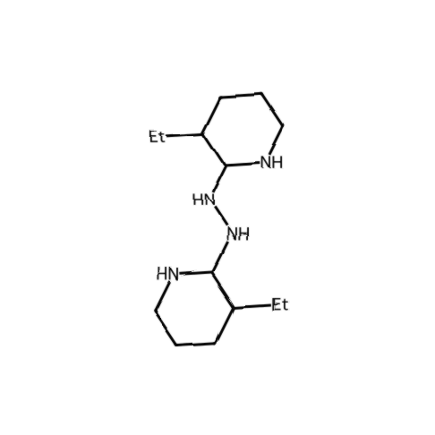 CCC1CCCNC1NNC1NCCCC1CC